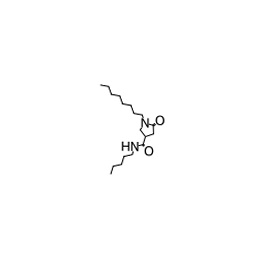 CCCCCCCCN1CC(C(=O)NCCCCC)CC1=O